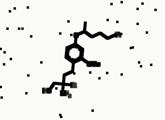 CCC(N)(CO)CCc1ccc(OC(C)CCCC(C)C)cc1OC